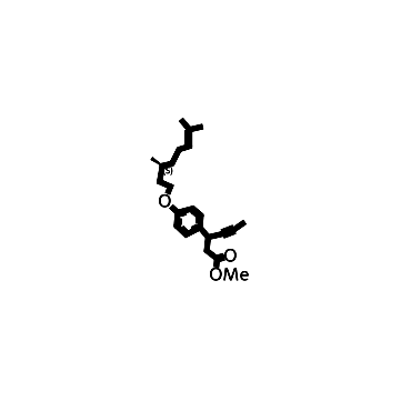 CC#CC(CC(=O)OC)c1ccc(OCC[C@@H](C)CCC=C(C)C)cc1